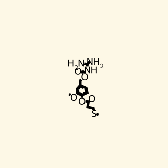 COc1cc(COC(=O)NC(N)N)ccc1OC(=O)CCSC